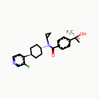 C[C@](O)(c1ccc(C(=O)N(C2CC2)[C@H]2CC[C@H](c3ccncc3F)CC2)cc1)C(F)(F)F